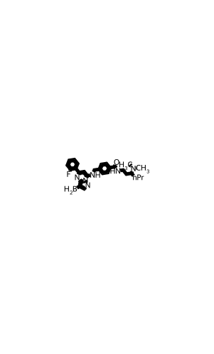 Bc1cnn2c(NCc3ccc(C(=O)NCCC(CCC)N(C)C)cc3)cc(-c3ccccc3F)nc12